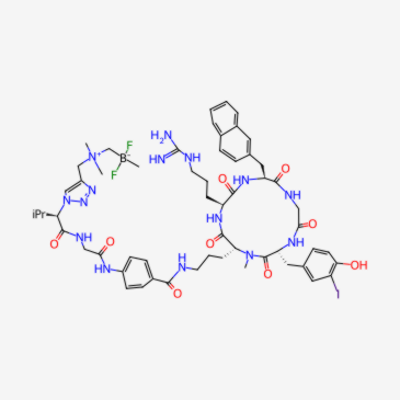 CC(C)[C@H](C(=O)NCC(=O)Nc1ccc(C(=O)NCCC[C@@H]2C(=O)N[C@@H](CCCNC(=N)N)C(=O)N[C@@H](Cc3ccc4ccccc4c3)C(=O)NCC(=O)N[C@H](Cc3ccc(O)c(I)c3)C(=O)N2C)cc1)n1cc(C[N+](C)(C)C[B-](C)(F)F)nn1